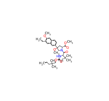 C=CCC(C)(C)COC(=O)NC(C(=O)N1C[C@](OC)(c2ccc3cc(OC)c(C=C)cc3c2)C[C@H]1C(=O)OC)C(C)(C)C